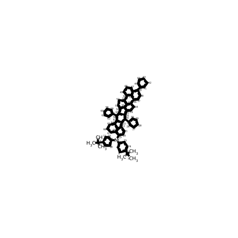 CC(C)(C)c1ccc(N(c2ccc(C(C)(C)C)cc2)c2ccc3c4c(-c5ccccc5)c5c6ccc7c8ccc(-c9ccccc9)c9cccc(c%10ccc(c5c(-c5ccccc5)c4c4cccc2c43)c6c%107)c98)cc1